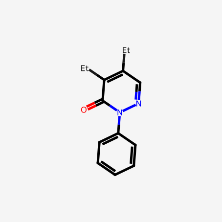 CCc1cnn(-c2ccccc2)c(=O)c1CC